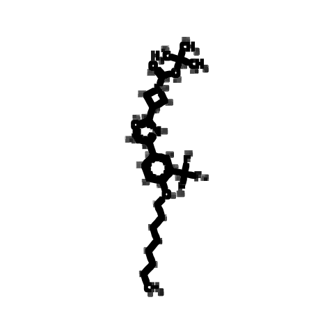 CCCCCCCCOc1ccc(-c2noc(C3CN(C(=O)OC(C)(C)C)C3)n2)cc1C(F)(F)F